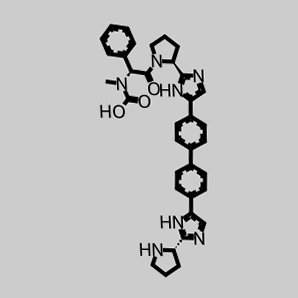 CN(C(=O)O)[C@@H](C(=O)N1CCC[C@H]1c1ncc(-c2ccc(-c3ccc(-c4cnc([C@@H]5CCCN5)[nH]4)cc3)cc2)[nH]1)c1ccccc1